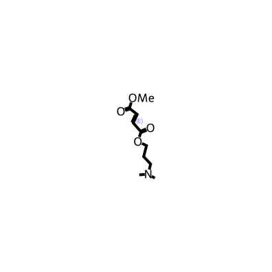 COC(=O)/C=C/C(=O)OCCCN(C)C